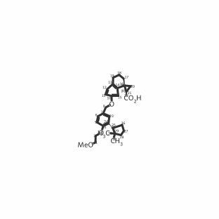 COCCOc1ccc(COc2ccc3c(c2)[C@]2(CCC3)C[C@H]2C(=O)O)cc1[C@@H]1CCCC1(C)C